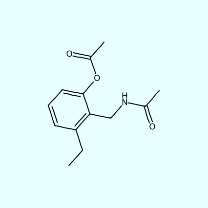 CCc1cccc(OC(C)=O)c1CNC(C)=O